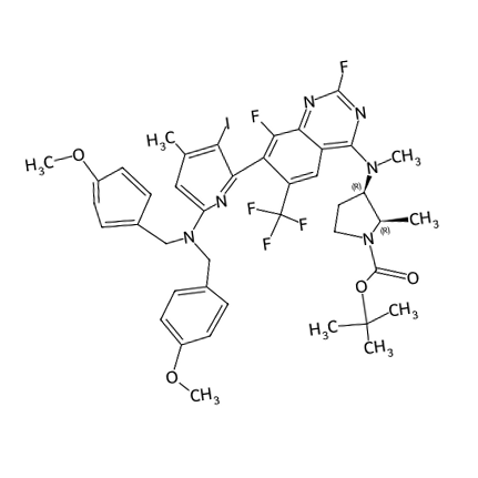 COc1ccc(CN(Cc2ccc(OC)cc2)c2cc(C)c(I)c(-c3c(C(F)(F)F)cc4c(N(C)[C@@H]5CCN(C(=O)OC(C)(C)C)[C@@H]5C)nc(F)nc4c3F)n2)cc1